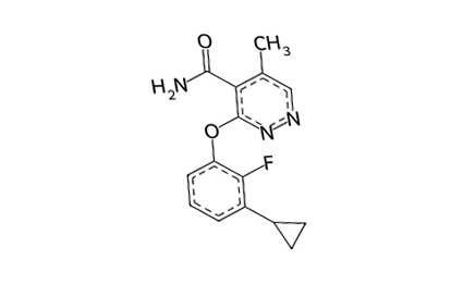 Cc1cnnc(Oc2cccc(C3CC3)c2F)c1C(N)=O